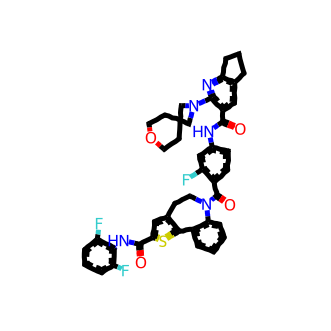 O=C(Nc1c(F)cccc1F)c1cc2c(s1)-c1ccccc1N(C(=O)c1ccc(NC(=O)c3cc4c(nc3N3CC5(CCOCC5)C3)CCC4)cc1F)CC2